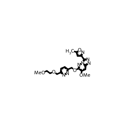 COCCOCc1ccc(COc2nn3c(-c4cc(C)on4)nnc3cc2OC)nn1